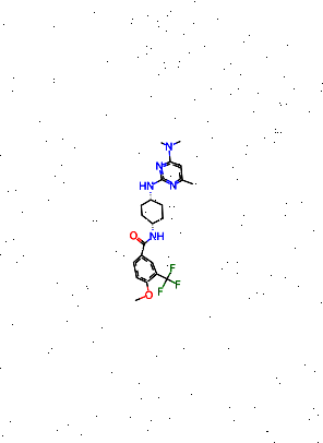 COc1ccc(C(=O)N[C@H]2CC[C@@H](Nc3nc(C)cc(N(C)C)n3)CC2)cc1C(F)(F)F